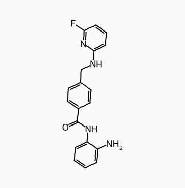 Nc1ccccc1NC(=O)c1ccc(CNc2cccc(F)n2)cc1